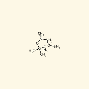 C[SiH](O[Si](C)(C)C)[SiH2]O[SiH3]